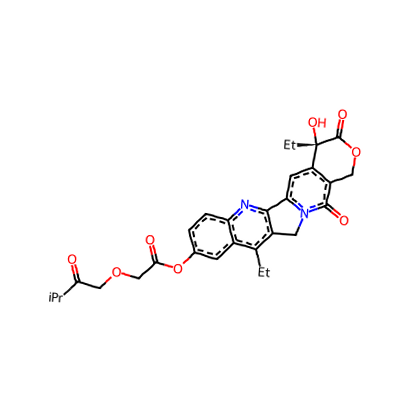 CCc1c2c(nc3ccc(OC(=O)COCC(=O)C(C)C)cc13)-c1cc3c(c(=O)n1C2)COC(=O)[C@]3(O)CC